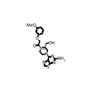 COc1cccc(OCC(=O)N2CCN(c3nc(N)nc4scnc34)C[C@@H]2CO)c1